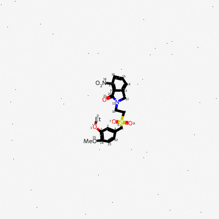 CCOc1cc(CS(=O)(=O)CCN2Cc3cccc([N+](=O)[O-])c3C2=O)ccc1OC